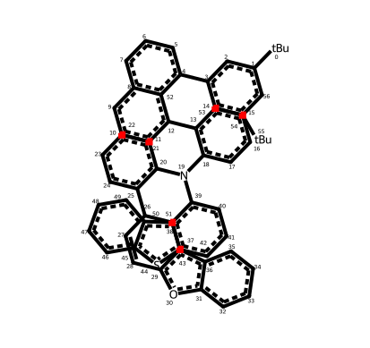 CC(C)(C)c1cc(-c2cccc3cccc(-c4ccccc4N(c4ccccc4C4C=Cc5oc6ccccc6c5C4)c4cccc5sc6ccccc6c45)c23)cc(C(C)(C)C)c1